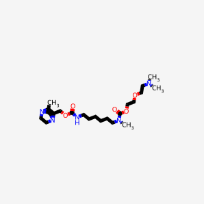 CC1C(COC(=O)NCCCCCCN(C)C(=O)OCCOCCN(C)C)N2CCN1CC2